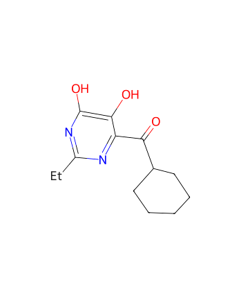 CCc1nc(O)c(O)c(C(=O)C2CCCCC2)n1